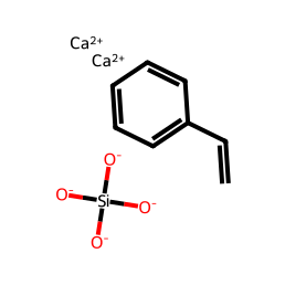 C=Cc1ccccc1.[Ca+2].[Ca+2].[O-][Si]([O-])([O-])[O-]